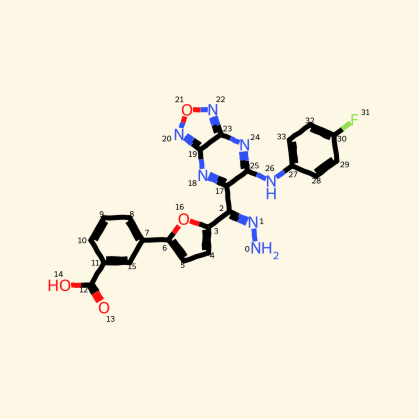 NN=C(c1ccc(-c2cccc(C(=O)O)c2)o1)c1nc2nonc2nc1Nc1ccc(F)cc1